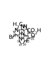 Cn1nc(C(=O)O)c2c1c1ncc(Br)cc1n2C(c1ncccc1F)C1CCOCC1